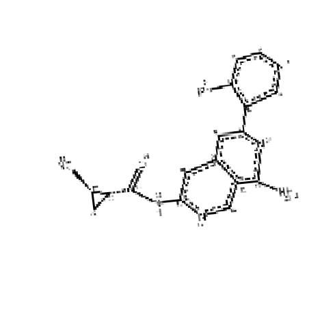 CC(C)c1ccncc1-c1cc2cc(NC(=O)[C@@H]3C[C@H]3C#N)ncc2c(N)n1